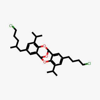 CC(CCCCl)Cc1cc(C(C)C)c2c(c1)C1Oc3c(C(C)C)cc(CCCCCl)cc3C(O2)O1